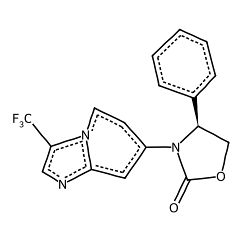 O=C1OC[C@H](c2ccccc2)N1c1ccn2c(C(F)(F)F)cnc2c1